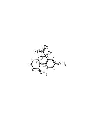 CCN(CC)S(=O)(=O)c1cc(N)ccc1N1CCCCC1C